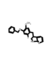 COc1cc(CC2CNc3ncccc32)c(F)cc1OCc1ccccc1